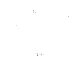 CC(=O)Nc1ccccc1OCC1CN(C2CCN(Cc3ccc(Cl)cc3)CC2)CCO1